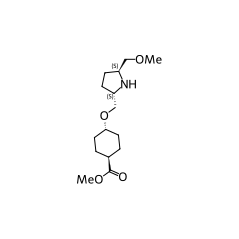 COC[C@@H]1CC[C@@H](CO[C@H]2CC[C@H](C(=O)OC)CC2)N1